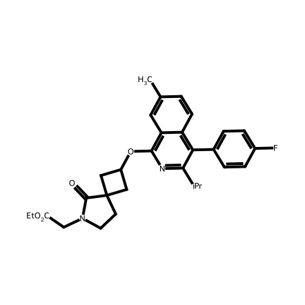 CCOC(=O)CN1CCC2(CC(Oc3nc(C(C)C)c(-c4ccc(F)cc4)c4ccc(C)cc34)C2)C1=O